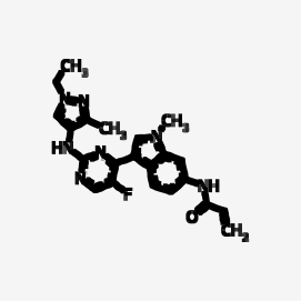 C=CC(=O)Nc1ccc2c(-c3nc(Nc4cn(CC)nc4C)ncc3F)cn(C)c2c1